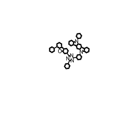 c1ccc(-c2nc(-c3cccc(-n4c5ccccc5c5cc6c(cc54)c4ccccc4n6-c4ccccc4)c3)nc(-c3ccc4c(c3)oc3c(-c5ccccc5)cccc34)n2)cc1